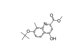 COC(=O)c1cc(O)c2ccc(OC(C)(C)C)c(C)c2n1